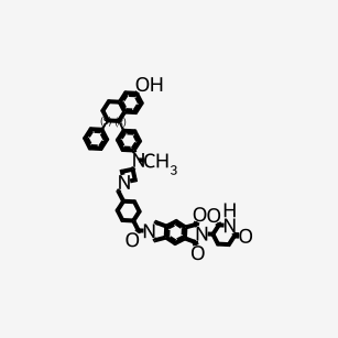 CN(c1ccc([C@@H]2c3ccc(O)cc3CC[C@@H]2c2ccccc2)cc1)C1CN(CC2CCC(C(=O)N3Cc4cc5c(cc4C3)C(=O)N(C3CCC(=O)NC3=O)C5=O)CC2)C1